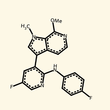 COc1nccc2c(-c3cc(F)cnc3Nc3ccc(F)cc3)cn(C)c12